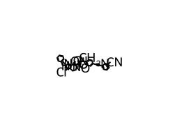 CN1C(=O)[C@H](N2CCc3c(nn(Cc4ccccc4)c3Cl)C2=O)COc2cc(C#Cc3cccc(C#N)n3)ccc21